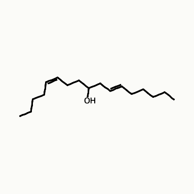 CCCC/C=C\CCC(O)CC=CCCCCC